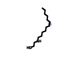 CCCCC/C=C\CCCCCNCCO